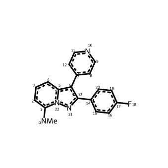 CNc1cccc2c(-c3ccncc3)c(-c3ccc(F)cc3)nn12